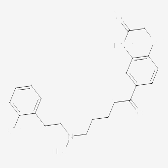 CN(CCCCC(=O)c1ccc2c(c1)NC(=O)CO2)CCc1ccccc1Cl